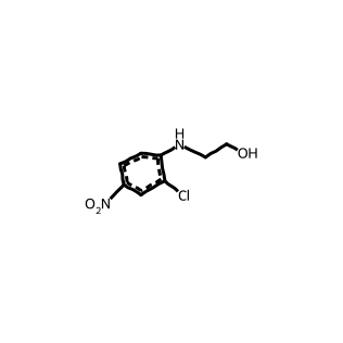 O=[N+]([O-])c1ccc(NCCO)c(Cl)c1